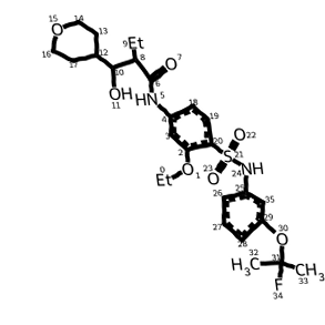 CCOc1cc(NC(=O)C(CC)C(O)C2CCOCC2)ccc1S(=O)(=O)Nc1cccc(OC(C)(C)F)c1